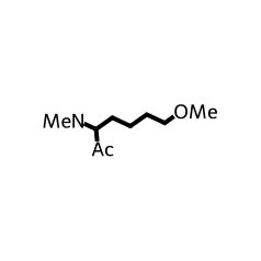 CNC(CCCCOC)C(C)=O